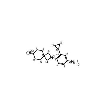 Nc1ccc(N2CC3(CCC(=O)CC3)C2)c(C2CC2)c1